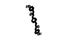 O=C(CCC1CCC(CCC(=O)Cc2ccc(O)cc2)CC1)Cc1ccc(O)cc1